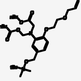 C=CCOCCOc1ccc(CO[Si](C)(C)C(C)(C)C)cc1N(COC(=O)CCCC)CC(=O)OCCCC